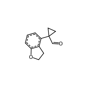 O=CC1(c2cccc3c2CCO3)CC1